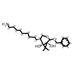 CC1(C)[C@@]2(O)C(OCc3ccccc3)OC[C@H](CCCCCCCCCN)[C@]12O